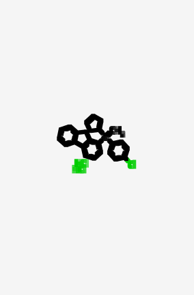 Cl.Cl.[CH2]=[Zr]([C]1=CC=CC1)([c]1ccc(Cl)cc1)[c]1cccc2c1Cc1ccccc1-2